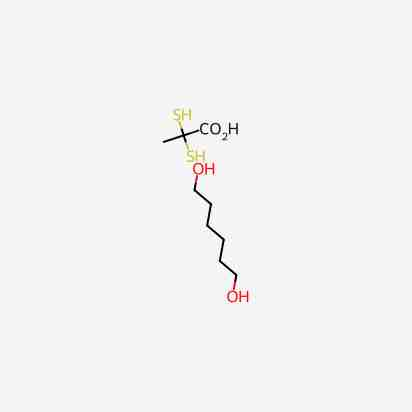 CC(S)(S)C(=O)O.OCCCCCCO